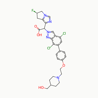 O=C(O)C(c1ncn2c1C[C@@H](F)C2)n1cc2c(Cl)cc(-c3ccc(OCCN4CCC(CO)CC4)cc3)c(Cl)c2n1